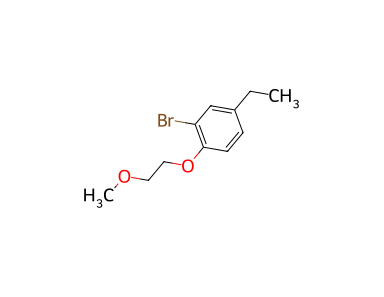 CCc1ccc(OCCOC)c(Br)c1